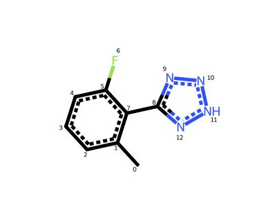 Cc1cccc(F)c1-c1nn[nH]n1